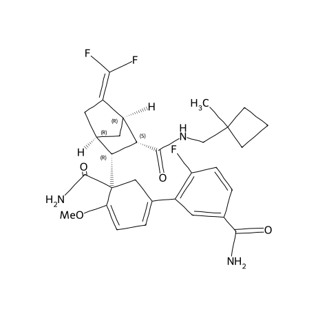 COC1=CC=C(c2cc(C(N)=O)ccc2F)CC1(C(N)=O)[C@@H]1[C@H]2CC(=C(F)F)[C@H](C2)[C@@H]1C(=O)NCC1(C)CCC1